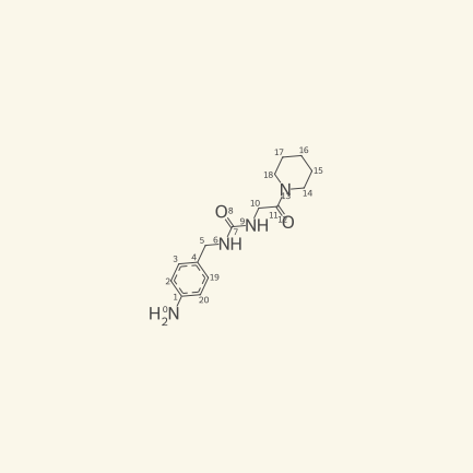 Nc1ccc(CNC(=O)NCC(=O)N2CCCCC2)cc1